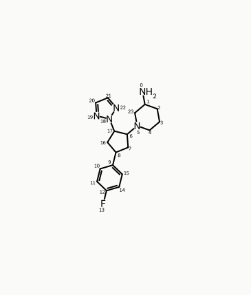 NC1CCCN(C2CC(c3ccc(F)cc3)CC2n2nccn2)C1